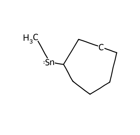 [CH3][Sn][CH]1CCCCCC1